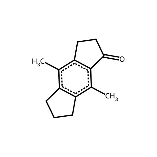 Cc1c2c(c(C)c3c1CCC3=O)CCC2